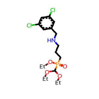 CCOC(OCC)P(=O)(CCCNCc1cc(Cl)cc(Cl)c1)OCC